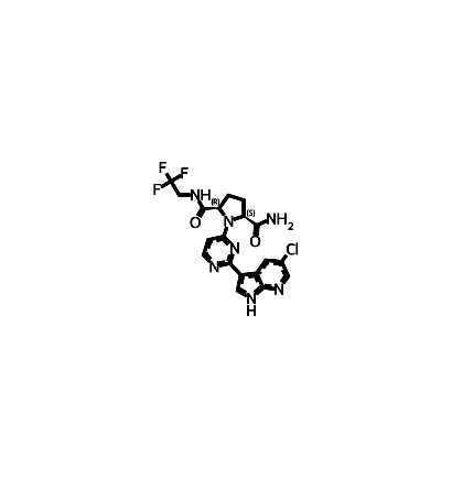 NC(=O)[C@@H]1CC[C@H](C(=O)NCC(F)(F)F)N1c1ccnc(-c2c[nH]c3ncc(Cl)cc23)n1